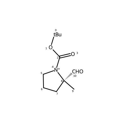 CC(C)(C)OC(=O)[N+]1CCC[C@@]1(C)C=O